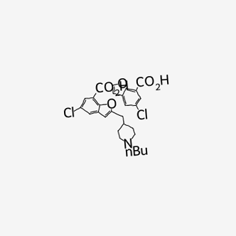 CCCCN1CCC(Cc2cc3cc(Cl)cc(C(=O)O)c3o2)CC1.O=C(O)c1cc(Cl)cc2ccoc12